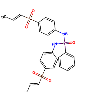 N#C/C=C/S(=O)(=O)c1ccc(NP(=O)(Nc2ccc(S(=O)(=O)/C=C/C#N)cc2)c2ccccc2)cc1